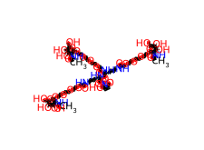 CC(=O)N[C@H]1[C@H](OCCOCCOCCOCC(=O)NCCCC[C@H](NC(=O)COCCOCCOCCO[C@@H]2O[C@H](CO)[C@H](O)[C@H](O)[C@H]2NC(C)=O)C(=O)N[C@@H](CCCCNC(=O)COCCOCCOCCO[C@@H]2O[C@H](CO)[C@H](O)[C@H](O)[C@H]2NC(C)=O)C(=O)ON2C(=O)CCC2O)O[C@H](CO)[C@H](O)[C@@H]1O